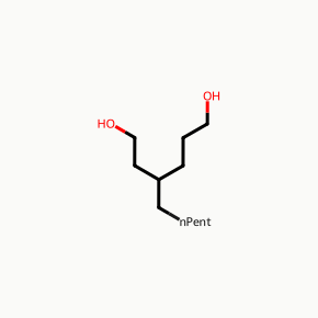 CCCCCCC(CCO)CCCO